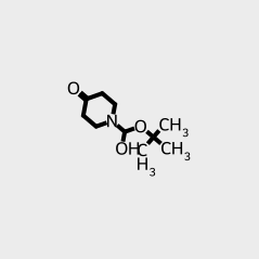 CC(C)(C)OC(O)N1CCC(=O)CC1